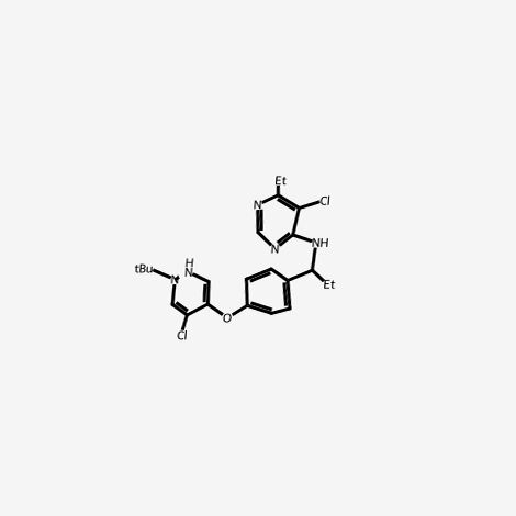 CCc1ncnc(NC(CC)c2ccc(OC3=CNN(C(C)(C)C)C=C3Cl)cc2)c1Cl